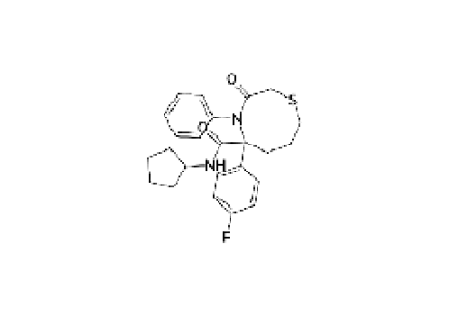 O=C1CSCCCC(C(=O)NC2CCCC2)(c2ccc(F)cc2)N1c1ccccc1